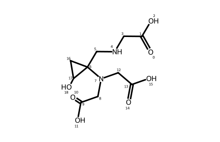 O=C(O)CNCC1(N(CC(=O)O)CC(=O)O)CC1O